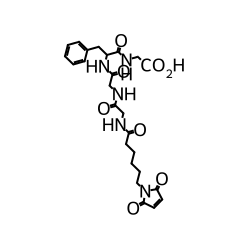 O=C(O)CNC(=O)C(Cc1ccccc1)NC(=O)CNC(=O)CNC(=O)CCCCCN1C(=O)C=CC1=O